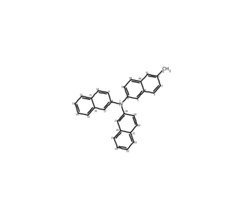 Cc1ccc2cc(N(c3ccc4ccccc4c3)c3ccc4ccccc4c3)ccc2c1